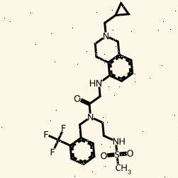 CS(=O)(=O)NCCN(Cc1ccccc1C(F)(F)F)C(=O)CNc1cccc2c1CCN(CC1CC1)C2